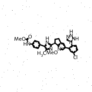 COC(=O)Nc1ccc(-c2[nH]c(C3CCc4cc(-c5cc(Cl)ccc5N5C=NNN5)c[n+](OC)c43)nc2C)cc1